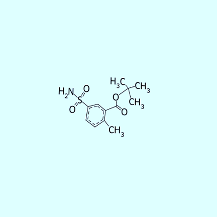 Cc1ccc(S(N)(=O)=O)cc1C(=O)OC(C)(C)C